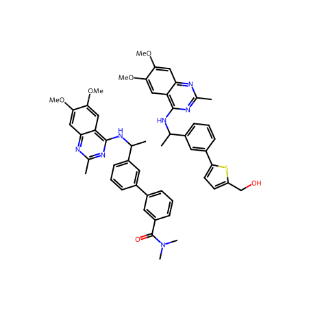 COc1cc2nc(C)nc(NC(C)c3cccc(-c4ccc(CO)s4)c3)c2cc1OC.COc1cc2nc(C)nc(NC(C)c3cccc(-c4cccc(C(=O)N(C)C)c4)c3)c2cc1OC